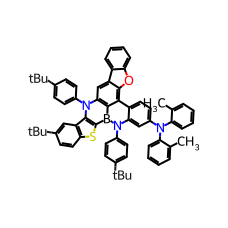 Cc1ccccc1N(c1ccc2c(c1)N(c1ccc(C(C)(C)C)cc1)B1c3sc4ccc(C(C)(C)C)cc4c3N(c3ccc(C(C)(C)C)cc3)c3cc4c(oc5ccccc54)c-2c31)c1ccccc1C